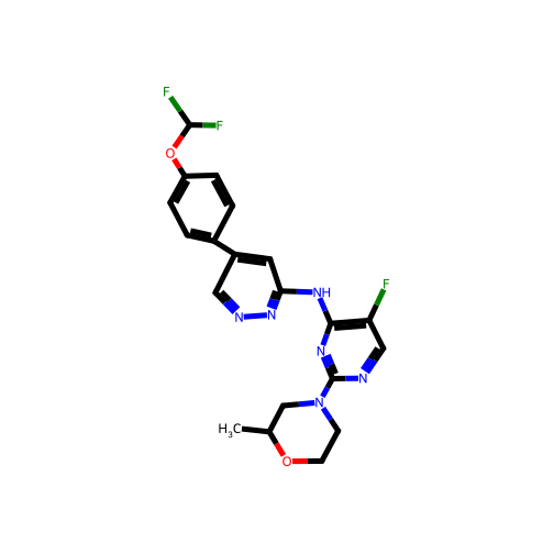 CC1CN(c2ncc(F)c(Nc3cc(-c4ccc(OC(F)F)cc4)cnn3)n2)CCO1